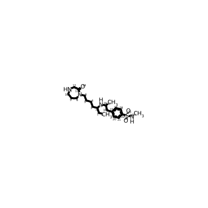 CCC(CCCCN1CCCNCC1=O)NC(C)Cc1ccc(S(=O)(=O)NC)cc1